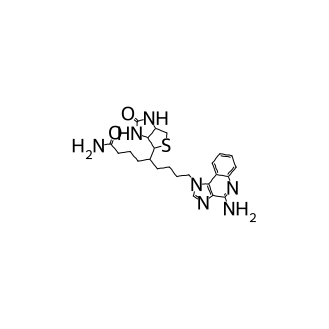 NC(=O)CCCC(CCCCn1cnc2c(N)nc3ccccc3c21)C1SCC2NC(=O)NC21